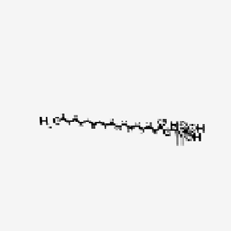 CCCCCCCCCCCCCCCCCC(=O)OCNC(O)(O)O